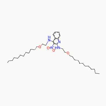 CCCCCCCCCCCCOCCNc1nc2ccccc2c(NCCOCCCCCCCCCCCC)c1[N+](=O)[O-]